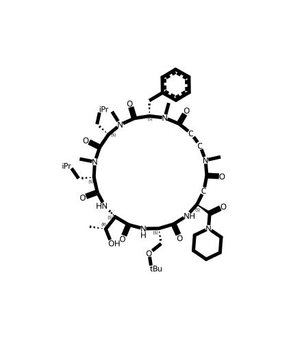 CC(C)C[C@H]1C(=O)N[C@@H]([C@@H](C)O)C(=O)N[C@@H](COC(C)(C)C)C(=O)N[C@H](C(=O)N2CCCCC2)CC(=O)N(C)CCC(=O)N(C)[C@@H](Cc2ccccc2)C(=O)N(C)[C@@H](CC(C)C)C(=O)N1C